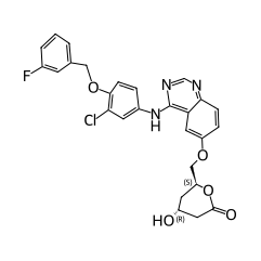 O=C1C[C@H](O)C[C@@H](COc2ccc3ncnc(Nc4ccc(OCc5cccc(F)c5)c(Cl)c4)c3c2)O1